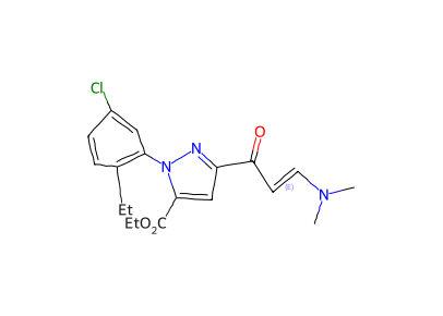 CCOC(=O)c1cc(C(=O)/C=C/N(C)C)nn1-c1cc(Cl)ccc1CC